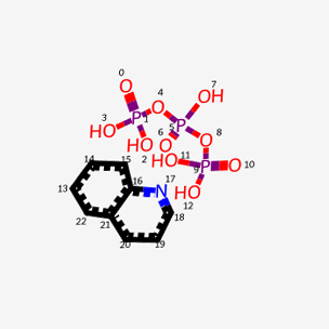 O=P(O)(O)OP(=O)(O)OP(=O)(O)O.c1ccc2ncccc2c1